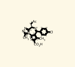 CC(=O)C[C@H]1N=C(c2ccc(Cl)cc2)c2c(sc(C(=O)O)c2C)-n2c(C)nnc21